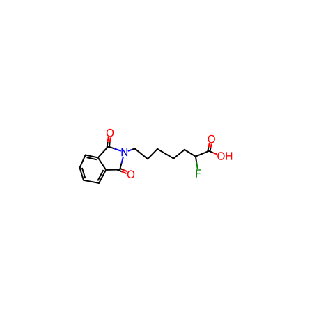 O=C(O)C(F)CCCCCN1C(=O)c2ccccc2C1=O